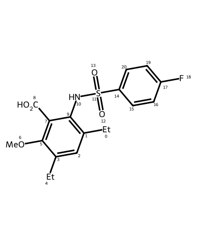 CCc1cc(CC)c(OC)c(C(=O)O)c1NS(=O)(=O)c1ccc(F)cc1